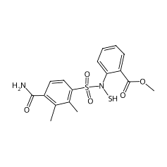 COC(=O)c1ccccc1N(S)S(=O)(=O)c1ccc(C(N)=O)c(C)c1C